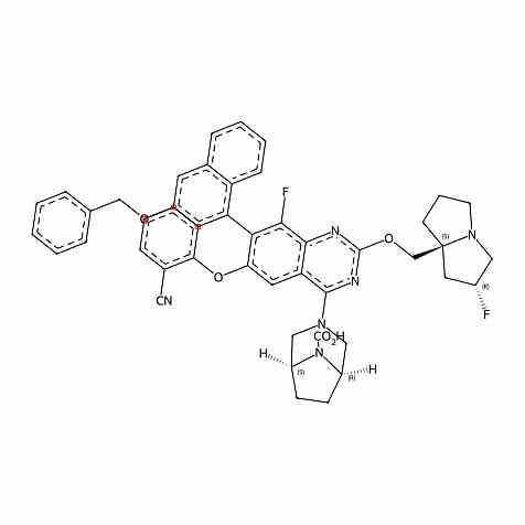 N#Cc1ccccc1Oc1cc2c(N3C[C@H]4CC[C@@H](C3)N4C(=O)O)nc(OC[C@@]34CCCN3C[C@H](F)C4)nc2c(F)c1-c1cc(OCc2ccccc2)cc2ccccc12